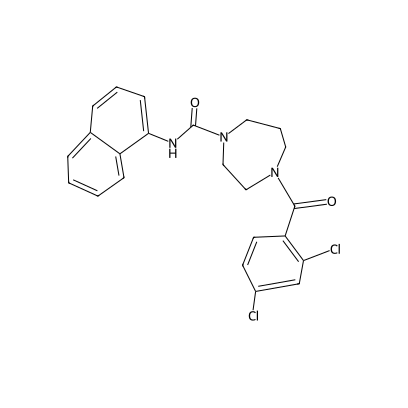 O=C(Nc1cccc2ccccc12)N1CCCN(C(=O)c2ccc(Cl)cc2Cl)CC1